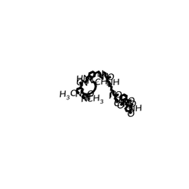 Cc1cc2cc(n1)-c1cnn(C)c1OCCC[C@@H](C)CN1/C(=N/C2=O)Nc2ccc(CN3CCN(C(=O)CNCCCCN(I)C(=O)CN(C)c4cccc5c4C(=O)N(C4CCC(=O)NC4=O)C5=O)CC3)cc21